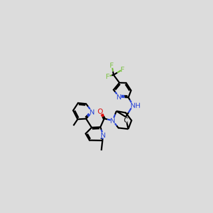 Cc1ccc(-c2ncccc2C)c(C(=O)N2CC3CCC2C(Nc2ccc(C(F)(F)F)cn2)C3)n1